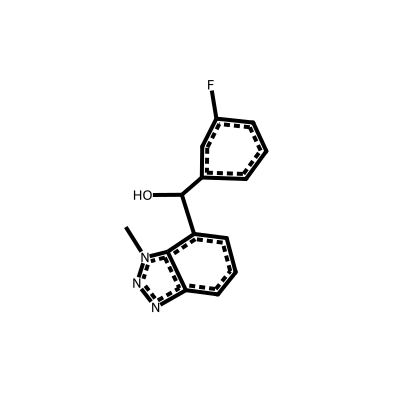 Cn1nnc2cccc(C(O)c3cccc(F)c3)c21